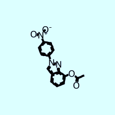 CC(=O)Oc1cccc2cn(-c3ccc([N+](=O)[O-])cc3)nc12